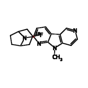 Cn1c2ccncc2c2ccc(N3C4CCC3CC([18F])C4)nc21